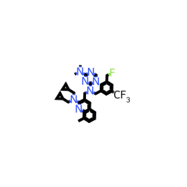 Cc1cccc2cc(CN(Cc3cc(CF)cc(C(F)(F)F)c3)c3ncnc(N(C)C)n3)c(N(CC3CC3)CC3CC3)nc12